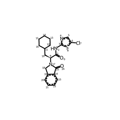 O=C(Nc1ncc(Cl)s1)[C@H](CC1CCCCC1)N1Cc2ccccc2C1=O